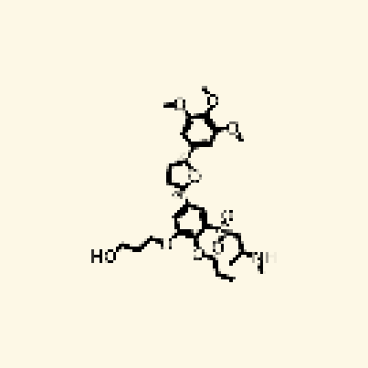 CCCOc1c(OCCCO)cc([C@@H]2CC[C@@H](c3cc(OC)c(OC)c(OC)c3)O2)cc1S(=O)(=O)CC(C)NC